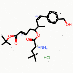 CC(/C=C\c1ccc(CO)cc1)C(C/C=C/C(=O)OC(C)(C)C)OC(=O)[C@@H](N)CC(C)(C)C.Cl